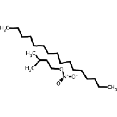 CC(C)CCO[N+](=O)[O-].CCCCCCCCCCCCCCCC